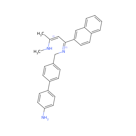 CN/C(C)=C\C(=N/Cc1ccc(-c2ccc(N)cc2)cc1)c1ccc2ccccc2c1